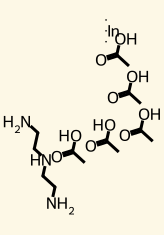 CC(=O)O.CC(=O)O.CC(=O)O.CC(=O)O.CC(=O)O.NCCNCCN.[In]